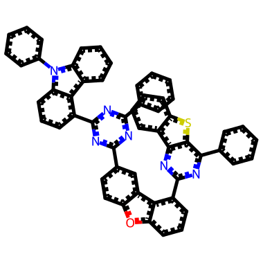 c1ccc(-c2nc(-c3ccc4oc5cccc(-c6nc(-c7ccccc7)c7sc8ccccc8c7n6)c5c4c3)nc(-c3cccc4c3c3ccccc3n4-c3ccccc3)n2)cc1